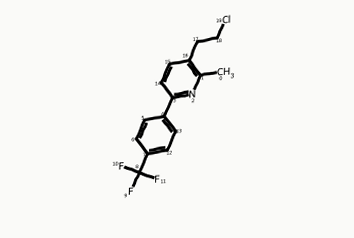 Cc1nc(-c2ccc(C(F)(F)F)cc2)ccc1CCCl